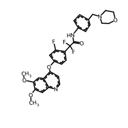 COc1cc2nccc(Oc3ccc(C(F)(F)C(=O)Nc4ccc(CN5CCOCC5)cc4)c(F)c3)c2cc1OC